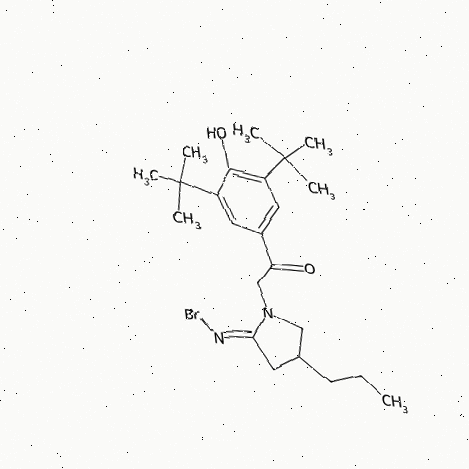 CCCC1C/C(=N/Br)N(CC(=O)c2cc(C(C)(C)C)c(O)c(C(C)(C)C)c2)C1